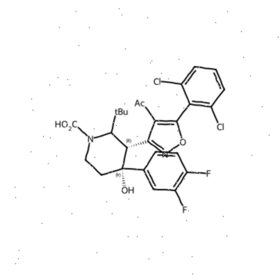 CC(=O)c1c([C@H]2C(C(C)(C)C)N(C(=O)O)CC[C@]2(O)c2ccc(F)c(F)c2)noc1-c1c(Cl)cccc1Cl